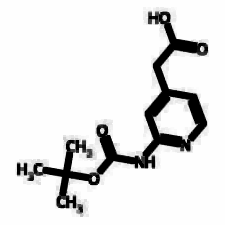 CC(C)(C)OC(=O)Nc1cc(CC(=O)O)ccn1